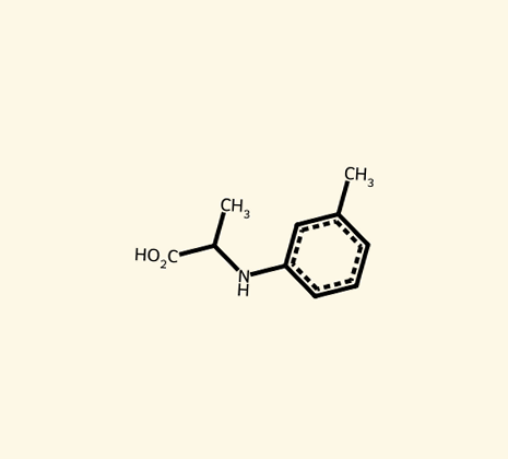 Cc1cccc(NC(C)C(=O)O)c1